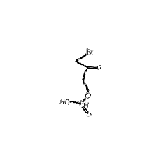 O=C(CBr)CO[PH](=O)O